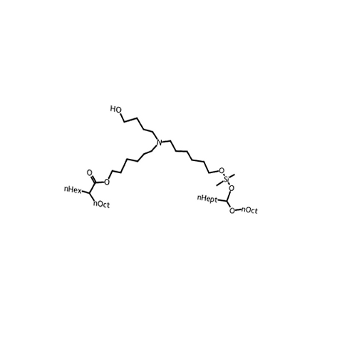 CCCCCCCCOC(CCCCCCC)O[Si](C)(C)OCCCCCCN(CCCCO)CCCCCCOC(=O)C(CCCCCC)CCCCCCCC